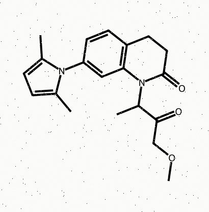 COCC(=O)C(C)N1C(=O)CCc2ccc(-n3c(C)ccc3C)cc21